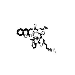 CSCC[C@H](NC(=O)[C@H](CCCCN)NC(=O)[C@@H]1CCCN1C(C)=O)C(=O)NCc1cc2ccccc2oc1=O